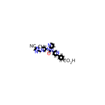 Cn1c(C#N)cnc1CN1CCC(n2c(=O)n(-c3ccc(-c4ccc(C(=O)O)cc4)nc3)c3cccnc32)C1